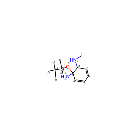 CNC1C=CC=CC1(N)O[Si](C)(C)C(C)(C)C